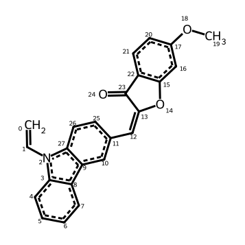 C=Cn1c2ccccc2c2cc(/C=C3/Oc4cc(OC)ccc4C3=O)ccc21